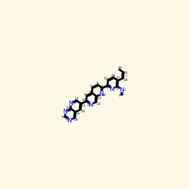 C=Nc1nc(-c2ccc3cc(-c4cnc5ncncc5c4)ncc3n2)ccc1/C=C\C